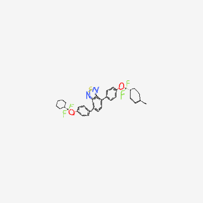 C[C@H]1CC[C@H](C(F)(F)Oc2ccc(-c3ccc(-c4ccc(OC(F)(F)C5CCCCC5)cc4)c4nsnc34)cc2)CC1